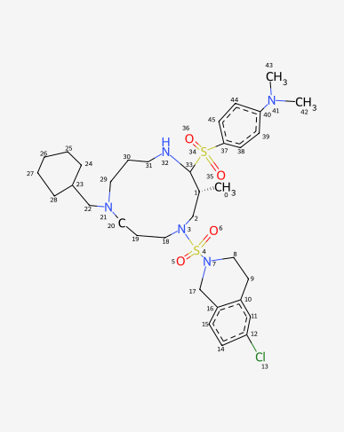 C[C@@H]1CN(S(=O)(=O)N2CCc3cc(Cl)ccc3C2)CCCN(CC2CCCCC2)CCCNC1S(=O)(=O)c1ccc(N(C)C)cc1